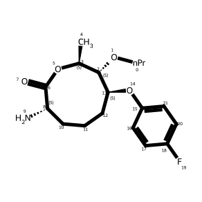 CCCO[C@H]1[C@H](C)OC(=O)[C@@H](N)CCC[C@@H]1Oc1ccc(F)cc1